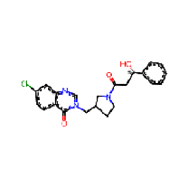 O=C(C[C@H](O)c1ccccc1)N1CCC(Cn2cnc3cc(Cl)ccc3c2=O)C1